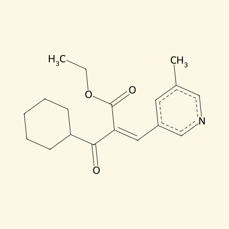 CCOC(=O)C(=Cc1cncc(C)c1)C(=O)C1CCCCC1